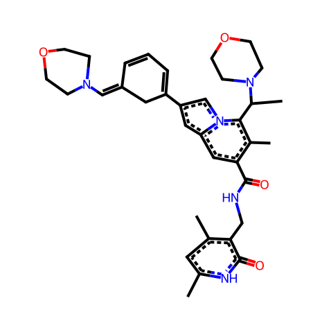 Cc1cc(C)c(CNC(=O)c2cc3cc(C4=CC=CC(=CN5CCOCC5)C4)cn3c(C(C)N3CCOCC3)c2C)c(=O)[nH]1